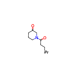 CC(C)CCC(=O)N1CCCC(=O)C1